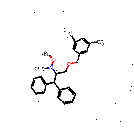 CC(C)(C)ON(C=O)C(COCc1cc(C(F)(F)F)cc(C(F)(F)F)c1)C(c1ccccc1)c1ccccc1